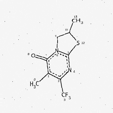 Cc1c(C(F)(F)F)nc2n(c1=O)CC(C)S2